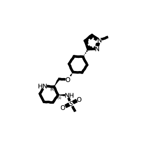 Cn1ccc([C@H]2CC[C@@H](OC[C@@H]3NCCC[C@@H]3NS(C)(=O)=O)CC2)n1